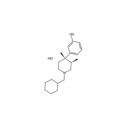 C[C@H]1CN(CC2CCCCC2)CC[C@]1(C)c1cccc(O)c1.Cl